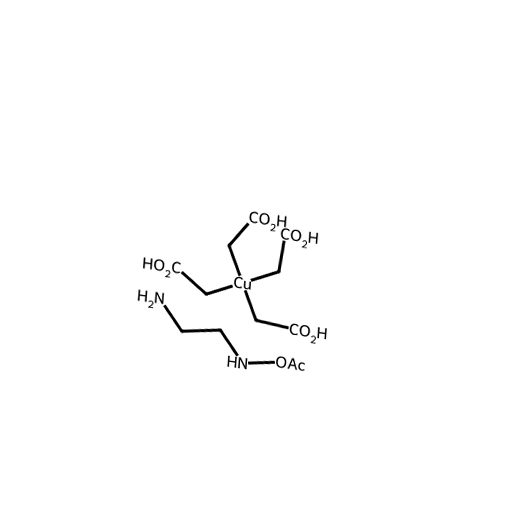 CC(=O)ONCCN.O=C(O)[CH2][Cu]([CH2]C(=O)O)([CH2]C(=O)O)[CH2]C(=O)O